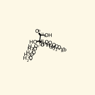 O.O.O.O.O.O.O.O.O.O.O=C(O)C(=O)O.[Yb]